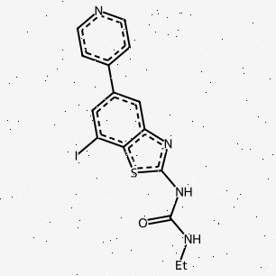 CCNC(=O)Nc1nc2cc(-c3ccncc3)cc(I)c2s1